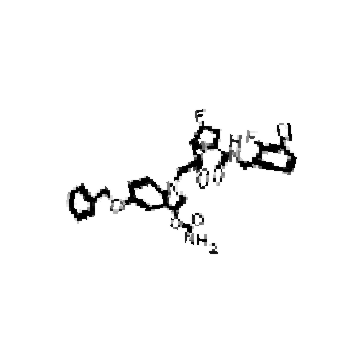 NC(=O)Oc1cn(CC(=O)N2C[C@H](F)C[C@H]2C(=O)NCc2cccc(Cl)c2F)c2ccc(OCc3ccccc3)cc12